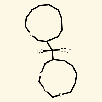 CC(C(=O)O)(C1CCCCCCCCCCC1)C1CCCCCCCCCCC1